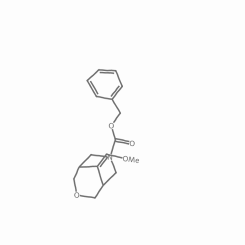 COC=C1C2COCC1CN(C(=O)OCc1ccccc1)C2